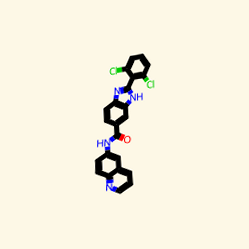 O=C(Nc1ccc2ncccc2c1)c1ccc2nc(-c3c(Cl)cccc3Cl)[nH]c2c1